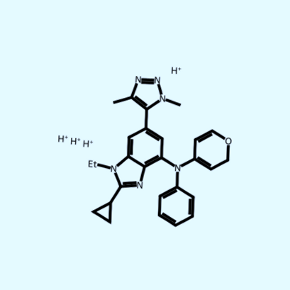 CCn1c(C2CC2)nc2c(N(C3=CCOC=C3)c3ccccc3)cc(-c3c(C)nnn3C)cc21.[H+].[H+].[H+].[H+]